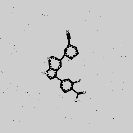 N#Cc1cccc(-c2cnc3[nH]cc(-c4ccc(C(=O)O)c(F)c4)c3c2)c1